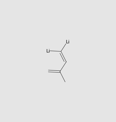 [Li][C]([Li])=CC(=C)C